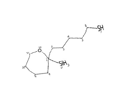 [SiH3]C1(CCCCCS)CCCCO1